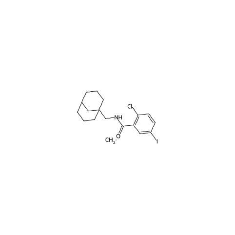 O=C(NCC12CCCC(CCC1)C2)c1cc(I)ccc1Cl.[CH2]